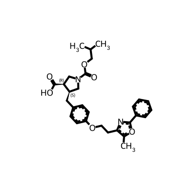 Cc1oc(-c2ccccc2)nc1CCOc1ccc(C[C@@H]2CN(C(=O)OCC(C)C)C[C@@H]2C(=O)O)cc1